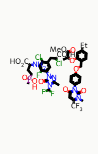 CCc1ccc(COc2ccc(-n3c(=O)cc(C(F)(F)F)n(C)c3=O)cc2)c(OC(C)C(=O)OC)c1.CP(=O)(O)CCC(N)C(=O)O.Cc1nn(-c2cc(CC(Cl)C(=O)O)c(Cl)cc2F)c(=O)n1C(F)F